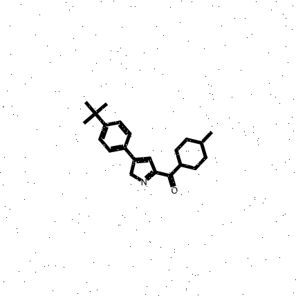 CC1CCC(C(=O)C2=NCC(c3ccc(C(C)(C)C)cc3)=C2)CC1